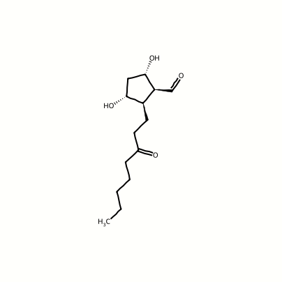 CCCCCC(=O)CC[C@@H]1[C@H](C=O)[C@@H](O)C[C@H]1O